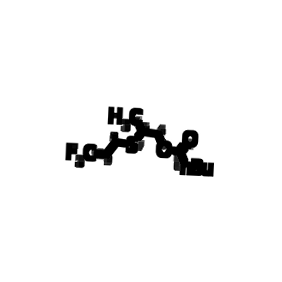 CCCCC(=O)OCC(C)SCCC(F)(F)F